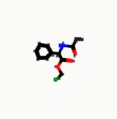 COC(=O)N[C@@H](C(=O)OCCl)c1ccccc1